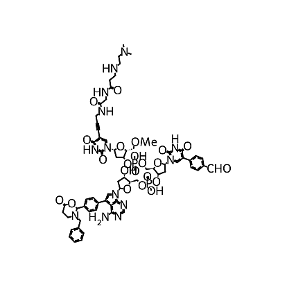 COC[C@H]1O[C@@H](n2cc(C#CCNC(=O)CNC(=O)CCNCCN(C)C)c(=O)[nH]c2=O)C[C@@H]1OP(=O)(O)OC[C@H]1O[C@@H](n2cc(-c3ccc(C=O)cc3)c(=O)[nH]c2=O)C[C@@H]1OP(=O)(O)OC[C@H]1O[C@@H](n2cc(-c3ccc(C4OC(=O)CCN4Cc4ccccc4)cc3)c3c(N)ncnc32)C[C@@H]1O